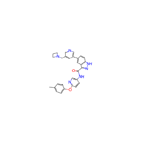 Cc1ccc(Oc2ccc(NC(=O)c3n[nH]c4ccc(-c5cncc(CN6CCC6)c5)cc34)cn2)cc1